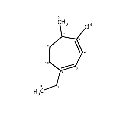 CCC1=CC=C(Cl)C(C)CC1